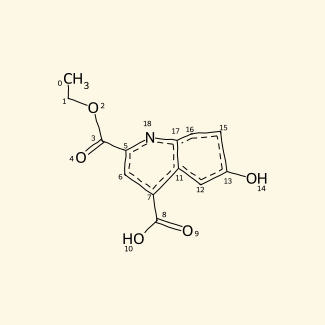 CCOC(=O)c1cc(C(=O)O)c2cc(O)ccc2n1